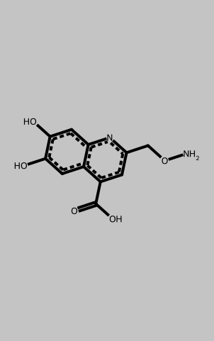 NOCc1cc(C(=O)O)c2cc(O)c(O)cc2n1